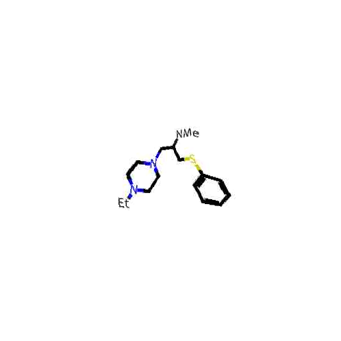 CCN1CCN(CC(CSc2ccccc2)NC)CC1